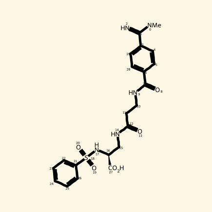 CNC(=N)c1ccc(C(=O)NCCC(=O)NC[C@H](NS(=O)(=O)c2ccccc2)C(=O)O)cc1